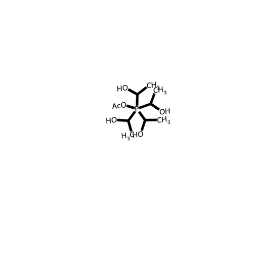 CC(=O)OP(C(C)O)(C(C)O)(C(C)O)C(C)O